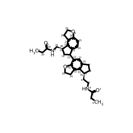 CCC(=O)NCC[C@@H]1CCc2cc(C3C[C@@H](CNC(=O)CC)c4c3ccc3c4CCO3)c3c(c21)CCO3